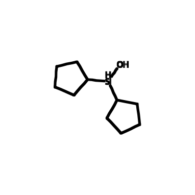 O[SiH](C1CCCC1)C1CCCC1